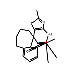 Cc1nc2c(s1)C1(CCCCc3ccccc31)C1=C(CC(C)(C)CC1=O)N2